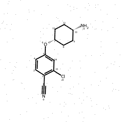 N#Cc1ccc(O[C@H]2CC[C@@H](N)CC2)cc1Cl